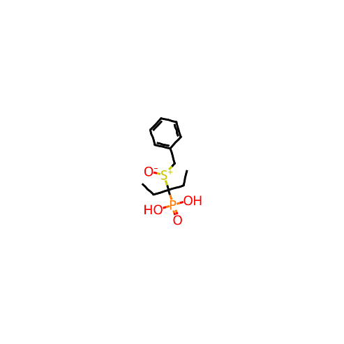 CCC(CC)([S+]([O-])Cc1ccccc1)P(=O)(O)O